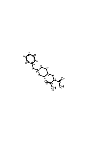 O=C(O)C(CC1CCN(Cc2ccccc2)CC1)C(=O)O